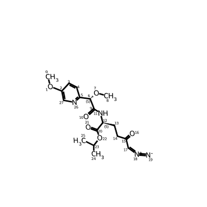 COc1ccc([C@H](OC)C(=O)N[C@@H](CCC(=O)C=[N+]=[N-])C(=O)OC(C)C)nc1